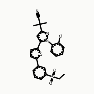 CCS(=O)(=O)c1cccc(-c2ccc(-c3cc(C(C)(C)C#N)nn3-c3ccccc3Cl)s2)c1